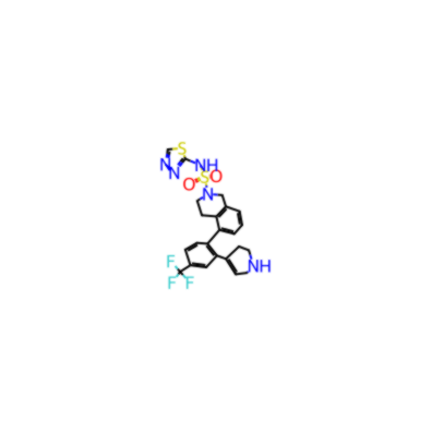 O=S(=O)(Nc1nncs1)N1CCc2c(cccc2-c2ccc(C(F)(F)F)cc2C2=CCNCC2)C1